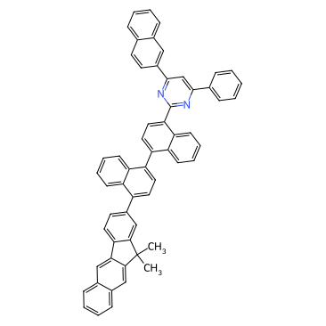 CC1(C)c2cc(-c3ccc(-c4ccc(-c5nc(-c6ccccc6)cc(-c6ccc7ccccc7c6)n5)c5ccccc45)c4ccccc34)ccc2-c2cc3ccccc3cc21